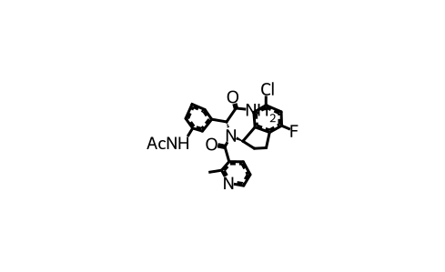 CC(=O)Nc1cccc([C@H](C(N)=O)N(C(=O)c2cccnc2C)[C@@H]2CCc3c(F)cc(Cl)cc32)c1